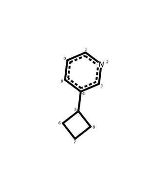 c1cncc(C2CCC2)c1